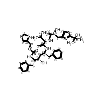 CC(C)[C@H](NC(=O)N(C)Cc1csc(C(C)(C)C)n1)C(=O)N[C@@H](Cc1ccccc1)C[C@H](O)[C@H](Cc1ccccc1)NC(=O)OCc1cncs1